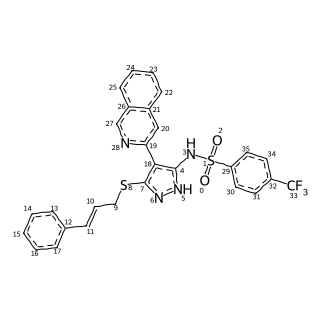 O=S(=O)(Nc1[nH]nc(SCC=Cc2ccccc2)c1-c1cc2ccccc2cn1)c1ccc(C(F)(F)F)cc1